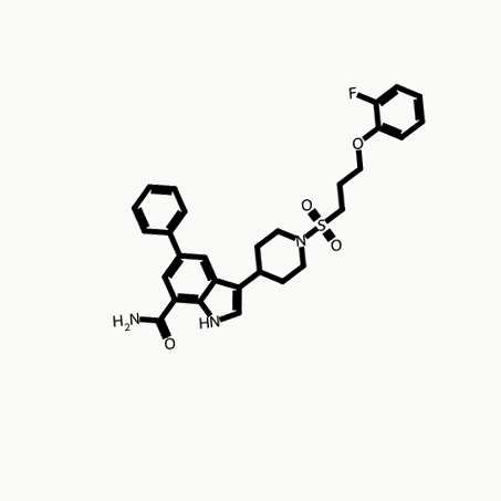 NC(=O)c1cc(-c2ccccc2)cc2c(C3CCN(S(=O)(=O)CCCOc4ccccc4F)CC3)c[nH]c12